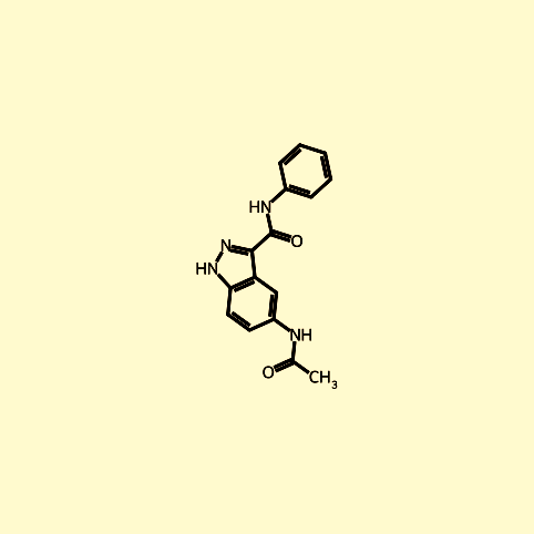 CC(=O)Nc1ccc2[nH]nc(C(=O)Nc3ccccc3)c2c1